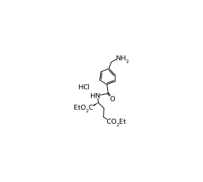 CCOC(=O)CC[C@H](NC(=O)c1ccc(CN)cc1)C(=O)OCC.Cl